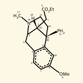 CCOC(=O)C[C@H]1C2Cc3ccc(OC)cc3[C@@]1(P)CCN2C